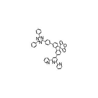 c1ccc(-c2nc(-c3ccccc3)nc(-c3ccc(-c4ccc5c(c4)-c4cc(-c6cc(-c7ccccn7)nc(-c7ccccn7)c6)ccc4C54c5ccccc5Oc5ccccc54)cc3)n2)cc1